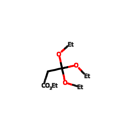 CCOC(=O)CC(OCC)(OCC)OCC